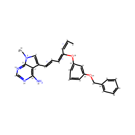 C\C=C/C(=C\C=C\c1cn(C(C)C)c2ncnc(N)c12)Oc1cccc(OCc2ccccc2)c1